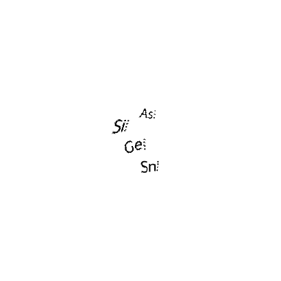 [As].[Ge].[Si].[Sn]